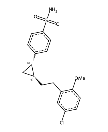 COc1ccc(Cl)cc1CC[C@H]1C[C@@H]1c1ccc(S(N)(=O)=O)cc1